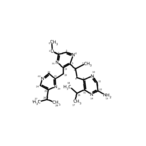 COc1cnc(C(C)Cc2ncc(N)nc2C(C)C)c(Cc2cncc(C(C)C)n2)n1